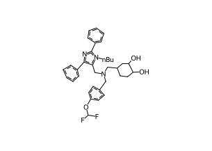 CCCCn1c(-c2ccccc2)nc(-c2ccccc2)c1CN(Cc1ccc(OC(F)F)cc1)CC1CCC(O)C(O)C1